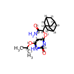 CC(C)Oc1cc(OC(C(N)=O)C23CC4CC(CC(C4)C2)C3)nc(=O)[nH]1